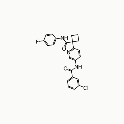 O=C(Nc1ccc(C2(C(=O)Nc3ccc(F)cc3)CCC2)nc1)c1cccc(Cl)c1